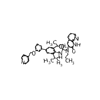 CCCN(C(=O)Nc1c(C(C)C)cc(-c2cccc(OCc3ccncc3)c2)cc1C(C)C)c1cc2cccnc2[nH]c1=O